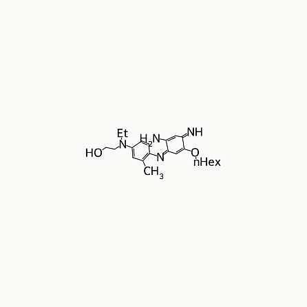 CCCCCCOC1=CC(=Nc2ccc(N(CC)CCO)cc2C)C(N)=CC1=N